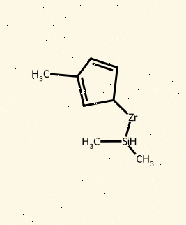 CC1=C[CH]([Zr][SiH](C)C)C=C1